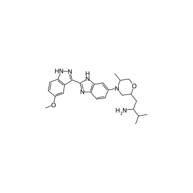 COc1ccc2[nH]nc(-c3nc4ccc(N5CC(CC(N)C(C)C)OCC5C)cc4[nH]3)c2c1